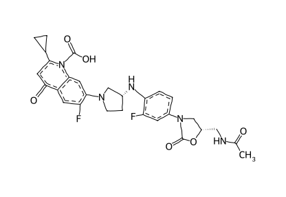 CC(=O)NC[C@H]1CN(c2ccc(N[C@@H]3CCN(c4cc5c(cc4F)c(=O)cc(C4CC4)n5C(=O)O)C3)c(F)c2)C(=O)O1